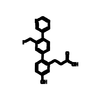 O=C(O)CCc1cc(O)ccc1-c1ccc(-c2cccnc2)c(CF)c1